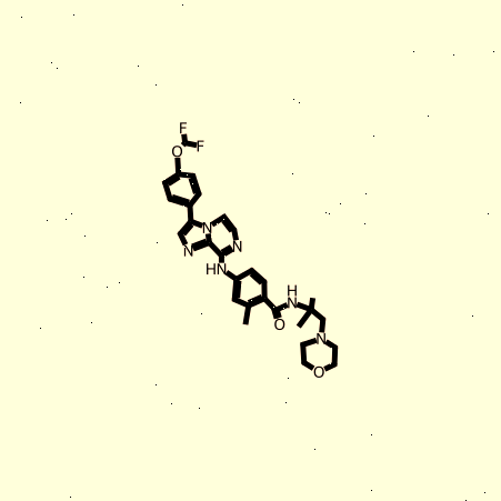 Cc1cc(Nc2nccn3c(-c4ccc(OC(F)F)cc4)cnc23)ccc1C(=O)NC(C)(C)CN1CCOCC1